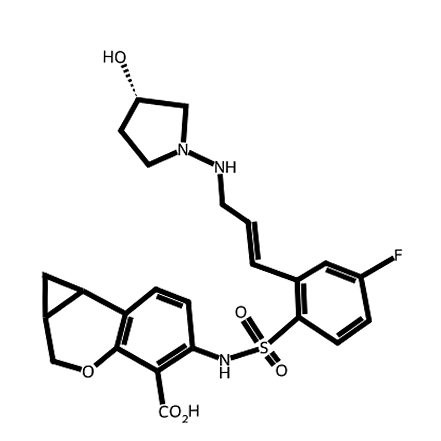 O=C(O)c1c(NS(=O)(=O)c2ccc(F)cc2C=CCNN2CC[C@H](O)C2)ccc2c1OCC1CC21